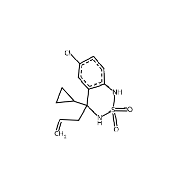 C=CCC1(C2CC2)NS(=O)(=O)Nc2ccc(Cl)cc21